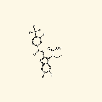 CCC(C(=O)O)n1c(=NC(=O)c2ccc(C(F)(F)F)c(F)c2)sc2cc(F)c(F)cc21